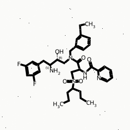 CCCC(CCC)S(=O)(=O)CC(NC(=O)c1ccccn1)C(=O)N(Cc1cccc(CC)c1)C[C@@H](O)[C@@H](N)Cc1cc(F)cc(F)c1